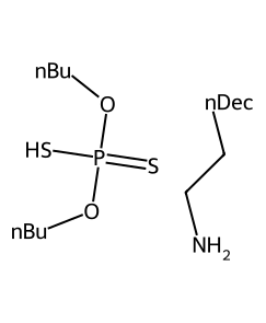 CCCCCCCCCCCCN.CCCCOP(=S)(S)OCCCC